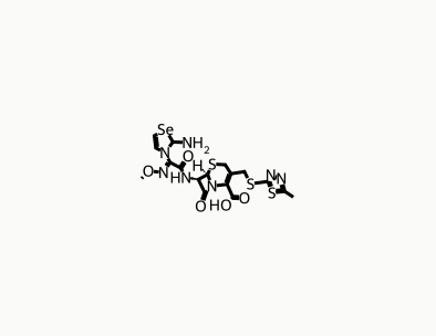 CON=C(C(=O)N[C@@H]1C(=O)N2C(C(=O)O)=C(CSc3nnc(C)s3)CS[C@H]12)N1C=C[Se]C1N